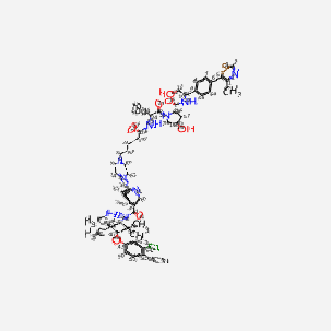 Cc1ncsc1-c1ccc([C@H](CO)NC(=O)[C@@H]2C[C@@H](O)CN2C(=O)C(NC(=O)CCCCN2CCN(c3ccc(C(=O)N[C@H]4C(C)(C)[C@H](Oc5ccc(C#N)c(Cl)c5)C4(C)C)cn3)CC2)C(C)(C)C)cc1